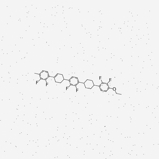 CCOc1ccc(C2CCC(c3ccc(C4CC=C(c5ccc(C)c(F)c5F)CC4)c(F)c3F)CC2)c(F)c1F